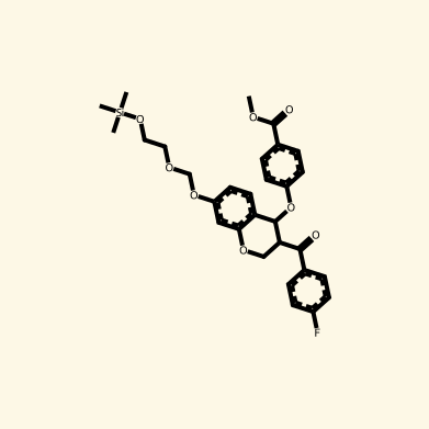 COC(=O)c1ccc(OC2c3ccc(OCOCCO[Si](C)(C)C)cc3OCC2C(=O)c2ccc(F)cc2)cc1